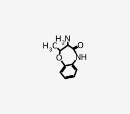 CC1Oc2ccccc2NC(=O)C1N